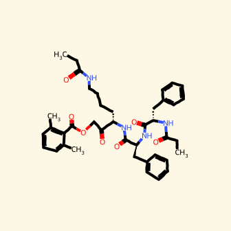 CCC(=O)NCCCC[C@H](NC(=O)[C@H](Cc1ccccc1)NC(=O)[C@H](Cc1ccccc1)NC(=O)CC)C(=O)COC(=O)c1c(C)cccc1C